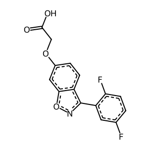 O=C(O)COc1ccc2c(-c3cc(F)ccc3F)noc2c1